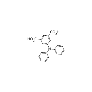 O=C(O)c1cc(C(=O)O)cc(N(c2ccccc2)c2ccccc2)c1